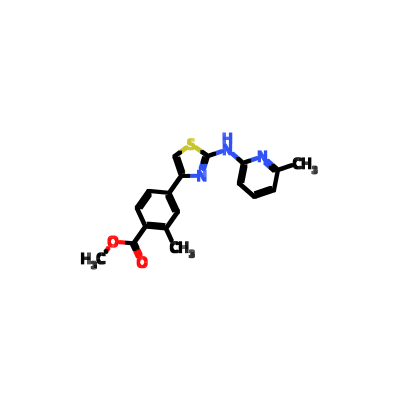 COC(=O)c1ccc(-c2csc(Nc3cccc(C)n3)n2)cc1C